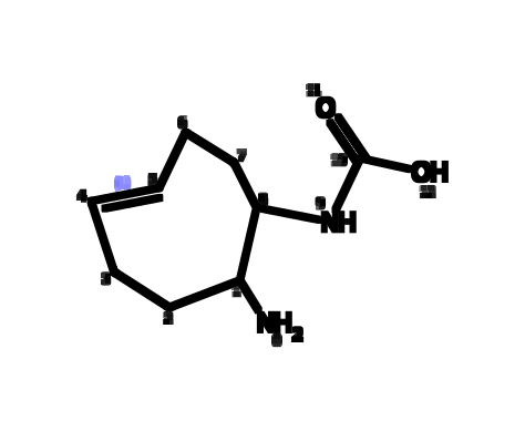 NC1CC/C=C/CCC1NC(=O)O